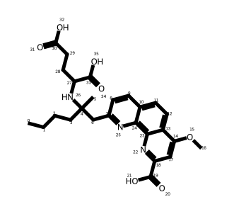 CCCCC(C)(Cc1ccc2ccc3c(OC)cc(C(=O)O)nc3c2n1)NC(CCC(=O)O)C(=O)O